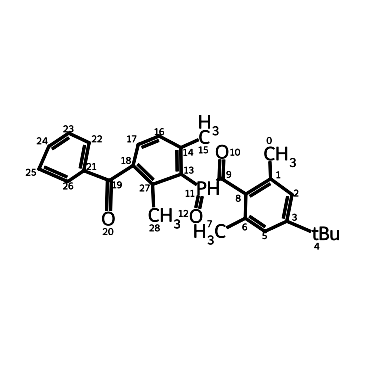 Cc1cc(C(C)(C)C)cc(C)c1C(=O)[PH](=O)c1c(C)ccc(C(=O)c2ccccc2)c1C